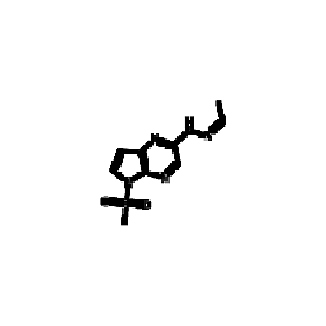 C/C=N\Nc1cnc2c(ccn2S(C)(=O)=O)n1